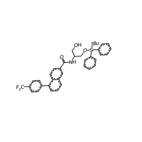 CC(C)(C)[Si](OCC(CO)NC(=O)c1ccc2c(-c3ccc(C(F)(F)F)cc3)cccc2c1)(c1ccccc1)c1ccccc1